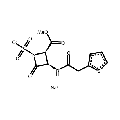 COC(=O)[C@H]1[C@@H](NC(=O)Cc2cccs2)C(=O)N1S(=O)(=O)[O-].[Na+]